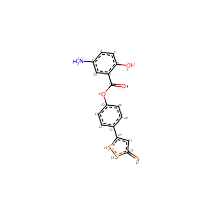 Nc1ccc(O)c(C(=O)Oc2ccc(-c3cc(=S)ss3)cc2)c1